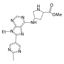 CCn1c(-c2cnc(C)nc2)nc2c(NC3CNC(C(=O)OC)C3)ncnc21